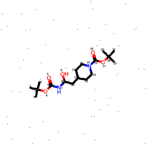 CC(C)(C)OC(=O)NC(O)CC1CCN(C(=O)OC(C)(C)C)CC1